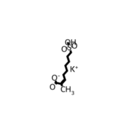 CC(=CCCCCCCS(=O)(=O)O)C(=O)[O-].[K+]